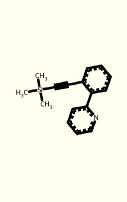 C[Si](C)(C)C#Cc1ccccc1-c1cc[c]cn1